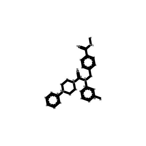 COC(=O)c1ccc(CN(C(=O)N2CCN(c3ccccc3)CC2)c2cccc(C)c2)cc1